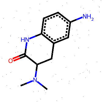 CN(C)C1Cc2cc(N)ccc2NC1=O